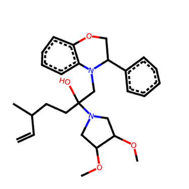 C=CC(C)CCC(O)(CN1c2ccccc2OCC1c1ccccc1)N1CC(OC)C(OC)C1